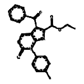 CCOC(=O)c1sc2c(ccc(=O)n2-c2ccc(C)cc2)c1C(=O)c1ccccc1